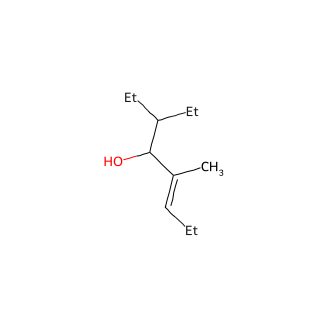 CC/C=C(\C)C(O)C(CC)CC